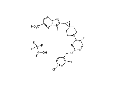 Cn1c(C2CC23CCN(c2nc(OCc4ccc(Cl)cc4F)ncc2F)CC3)nc2ccc(C(=O)O)nc21.O=C(O)C(F)(F)F